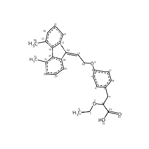 CCOC(Cc1ccc(OCC=C2c3cccc(C)c3-c3c(C)cccc32)cc1)C(=O)O